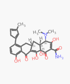 CC1=CCC(c2ccc(O)c3c2C[C@@H]2C[C@@H]4[C@@H](N(C)C)C(O)=C(C(N)=O)C(=O)[C@]4(O)C(O)=C2C3=O)=C1